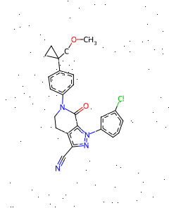 COCC1(c2ccc(N3CCc4c(C#N)nn(-c5cccc(Cl)c5)c4C3=O)cc2)CC1